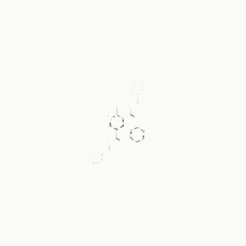 Cc1nc(C)c(C(=O)OCC2CCCO2)c(-c2cccc(Br)c2)c1C(=O)OCC1CCCO1